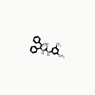 Cc1cc(NC(=S)NC(c2ccccc2)[C@H](O)c2ccccc2)cc(C(F)(F)F)c1